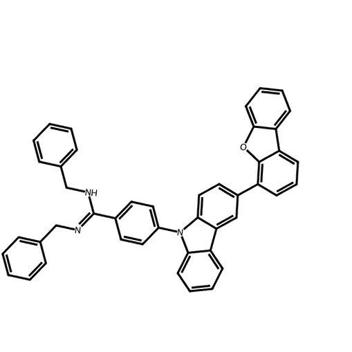 c1ccc(C/N=C(\NCc2ccccc2)c2ccc(-n3c4ccccc4c4cc(-c5cccc6c5oc5ccccc56)ccc43)cc2)cc1